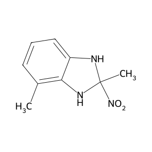 Cc1cccc2c1NC(C)([N+](=O)[O-])N2